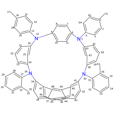 Cc1ccc(N2c3ccc(cc3)N(c3ccc(C)cc3)c3cccc(c3)N(c3ccccc3C)c3ccc4ccc5c(ccc6ccc3c4c65)N(c3ccccc3C)c3cccc2c3)cc1